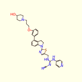 N#C/N=C(\NCc1cnc(N2CCc3c(-c4cccc(OCCCN5CCC(O)CC5)c4)cccc32)s1)Nc1ccncc1